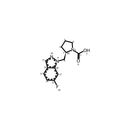 O=C(O)N1CCC[C@@H]1Cn1ncc2ccc(F)cc21